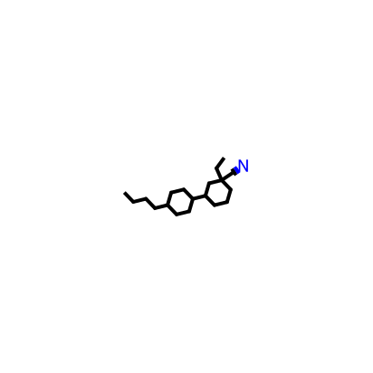 CCCCC1CCC(C2CCCC(C#N)(CC)C2)CC1